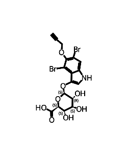 C#CCOc1c(Br)cc2[nH]cc(O[C@@H]3O[C@H](C(=O)O)[C@@H](O)[C@H](O)[C@H]3O)c2c1Br